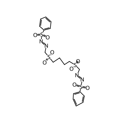 O=S(=O)(CCCCS(=O)(=O)C/N=N/S(=O)(=O)c1ccccc1)C/N=N/S(=O)(=O)c1ccccc1